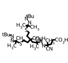 CC(C)(C)/N=N/C(C)(C)SCCC(CCSC(C)(C)/N=N/C(C)(C)C)(CC(C)(C#N)/N=N/C(C)(C#N)CCC(=O)O)C(=O)O